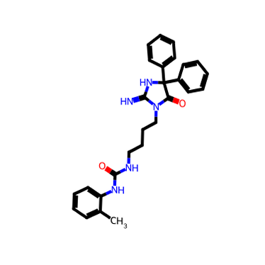 Cc1ccccc1NC(=O)NCCCCN1C(=N)NC(c2ccccc2)(c2ccccc2)C1=O